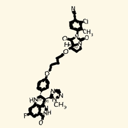 Cc1c(N2C(=O)[C@@H]3C(OCCCCCOc4ccc([C@H]5Nc6cc(F)cc7c(=O)[nH]nc(c67)[C@@H]5c5ncnn5C)cc4)CCN3C2=O)ccc(C#N)c1Cl